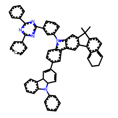 CC1(C)c2cc3c(cc2-c2c1ccc1c2=CCCC=1)c1cc(C2=CC4c5ccccc5N(c5ccccc5)C4C=C2)ccc1n3-c1cccc(-c2nc(-c3ccccc3)nc(-c3ccccc3)n2)c1